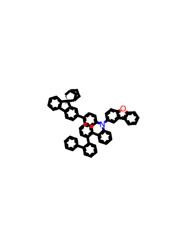 c1ccc(-c2ccccc2-c2ccccc2-c2ccccc2N(c2ccc(-c3ccc4c(c3)[C@@]3(CC5CCC3C5)c3ccccc3-4)cc2)c2ccc3oc4ccccc4c3c2)cc1